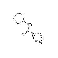 S=C(OC1CCCC1)n1ccnc1